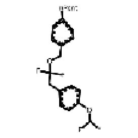 CCCCCc1ccc(COC(F)(F)Cc2ccc(OC(F)F)cc2)cc1